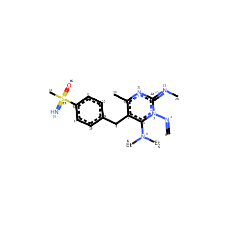 C=Nn1c(N(CC)CC)c(Cc2ccc(S(C)(=N)=O)cc2)c(C)n/c1=N/C